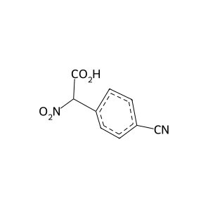 N#Cc1ccc(C(C(=O)O)[N+](=O)[O-])cc1